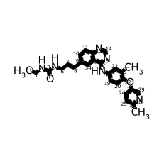 CCNC(=O)NCC=Cc1ccc2ncnc(Nc3ccc(Oc4ccc(C)nc4)c(C)c3)c2c1